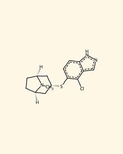 CN1[C@@H]2CC[C@H]1C[C@H](Sc1ccc3[nH]ncc3c1Cl)C2